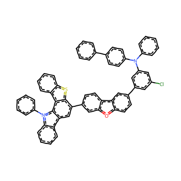 Clc1cc(-c2ccc3oc4cc(-c5cc6c7ccccc7n(-c7ccccc7)c6c6c5sc5ccccc56)ccc4c3c2)cc(N(c2ccccc2)c2ccc(-c3ccccc3)cc2)c1